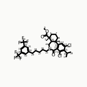 COC(=O)[C@]1(C)CCC[C@]2(C)c3cc(Cl)c(C(C)C)c(Cl)c3C(=O)N(CCCCCc3cc(C(F)(F)F)cc(C(F)(F)F)c3)CC12